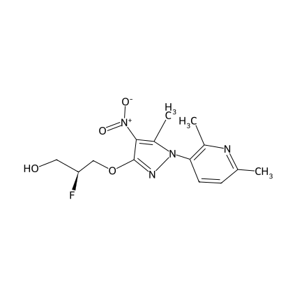 Cc1ccc(-n2nc(OC[C@@H](F)CO)c([N+](=O)[O-])c2C)c(C)n1